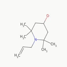 C=CCN1C(C)(C)CC([O])CC1(C)C